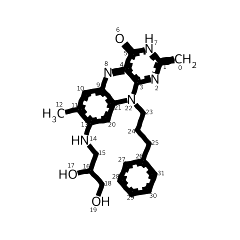 C=c1nc2c(c(=O)[nH]1)=Nc1cc(C)c(NCC(O)CO)cc1N2CCCc1ccccc1